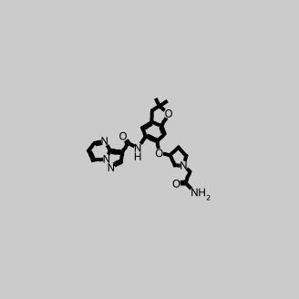 CC1(C)Cc2cc(NC(=O)c3cnn4cccnc34)c(OC3CCN(CC(N)=O)C3)cc2O1